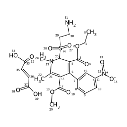 CCOC(=O)C1=C(c2cccc([N+](=O)[O-])c2)C(C(=O)OC)=C(C)N(C)C1S(=O)(=O)CCN.O=C(O)C=CC(=O)O